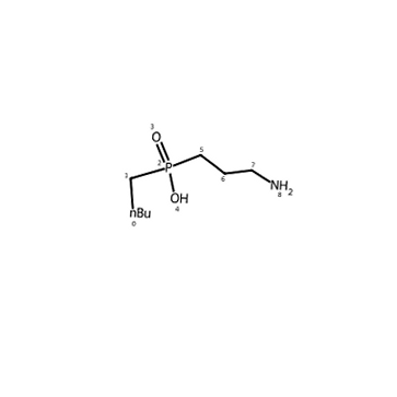 CCCCCP(=O)(O)CCCN